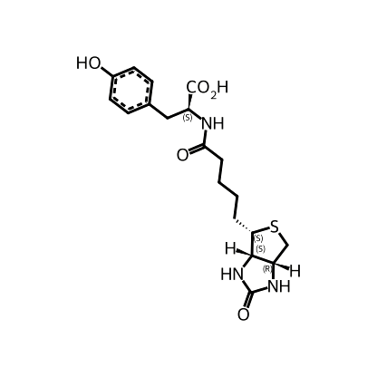 O=C(CCCC[C@@H]1SC[C@@H]2NC(=O)N[C@@H]21)N[C@@H](Cc1ccc(O)cc1)C(=O)O